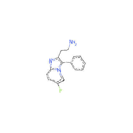 NCCc1nc2ccc(F)cn2c1-c1ccccc1